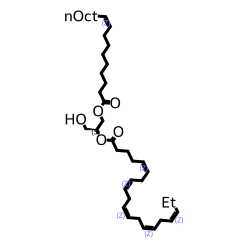 CC/C=C\C/C=C\C/C=C\C/C=C\C/C=C\CCCC(=O)O[C@@H](CO)COC(=O)CCCCCCC/C=C\CCCCCCCC